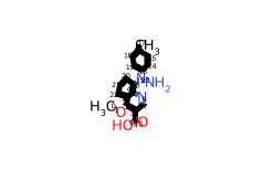 COc1c(C(=O)O)cnc2c(N(N)c3ccc(C)cc3)cccc12